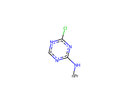 CCCNc1ncnc(Cl)n1